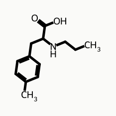 CCCNC(Cc1ccc(C)cc1)C(=O)O